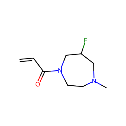 C=CC(=O)N1CCN(C)CC(F)C1